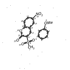 COc1ccccc1.CS(=O)(=O)c1cc2cc([N+](=O)[O-])ccc2oc1=O